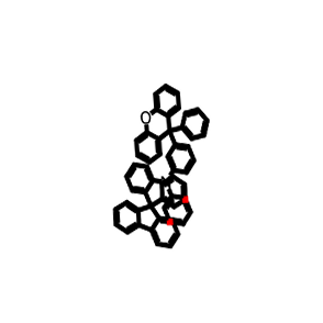 c1ccc(N(c2cccc(C3(c4ccccc4)c4ccccc4Oc4ccccc43)c2)c2ccccc2C2(c3ccccc3)c3ccccc3-c3ccccc32)cc1